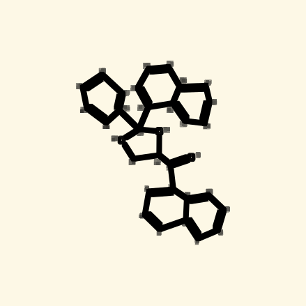 O=C(c1cccc2ccccc12)C1COC(c2ccccc2)(c2cccc3ccccc23)O1